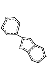 [c]1ccc2oc(-c3ccncc3)cc2c1